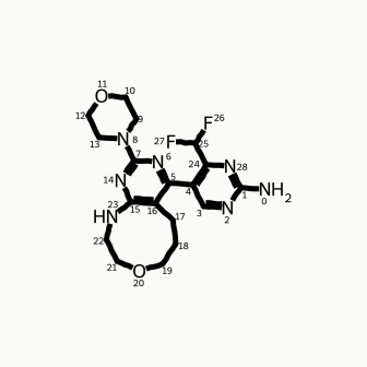 Nc1ncc(-c2nc(N3CCOCC3)nc3c2CCCOCCN3)c(C(F)F)n1